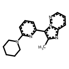 Cc1nc2cccnn2c1-c1cccc(N2CCCCC2)n1